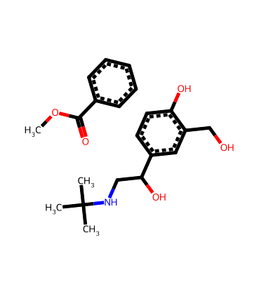 CC(C)(C)NCC(O)c1ccc(O)c(CO)c1.COC(=O)c1ccccc1